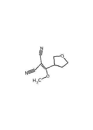 COC(=C(C#N)C#N)C1CCOC1